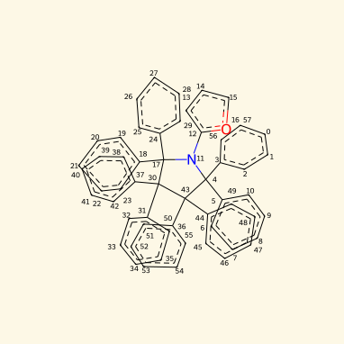 c1ccc(C2(c3ccccc3)N(c3ccco3)C(c3ccccc3)(c3ccccc3)C(c3ccccc3)(c3ccccc3)C2(c2ccccc2)c2ccccc2)cc1